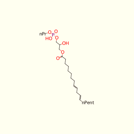 CCCCC/C=C/C/C=C/CCCCCCCC(=O)OCC(O)COP(=O)(O)OCCC